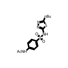 CCCCc1nnc(NS(=O)(=O)c2ccc(NC(C)=O)cc2)s1